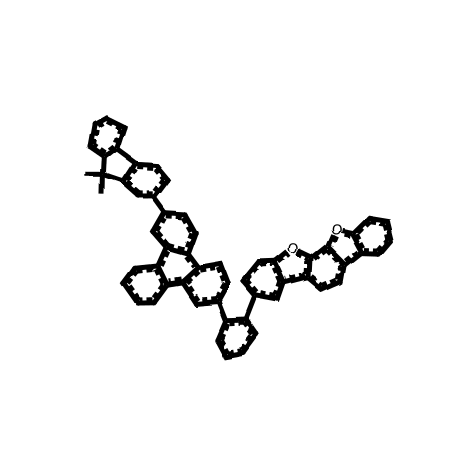 CC1(C)c2ccccc2-c2ccc(-c3ccc4c5ccc(-c6ccccc6-c6ccc7oc8c(ccc9c%10ccccc%10oc98)c7c6)cc5c5ccccc5c4c3)cc21